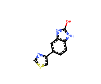 Oc1nc2cc(-c3cs[c]n3)ccc2[nH]1